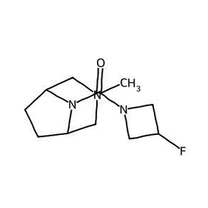 CN1CC2CCC(C1)N2C(=O)N1CC(F)C1